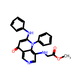 COC(=O)CNc1cncc2c(=O)cc(Nc3ccccc3)n(-c3ccccc3)c12